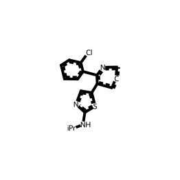 CC(C)Nc1ncc(-c2cccnc2-c2ccccc2Cl)s1